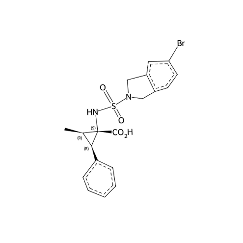 C[C@@H]1[C@H](c2ccccc2)[C@]1(NS(=O)(=O)N1Cc2ccc(Br)cc2C1)C(=O)O